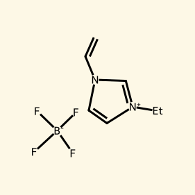 C=Cn1cc[n+](CC)c1.F[B-](F)(F)F